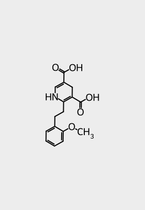 COc1ccccc1CCC1=C(C(=O)O)CC(C(=O)O)=CN1